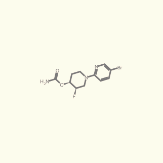 NC(=O)O[C@H]1CCN(c2ccc(Br)cn2)C[C@H]1F